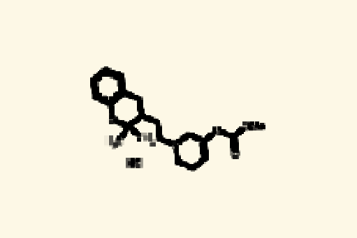 COC(=O)OC1=CCCN(CCC2Cc3ccccc3OC2(C)C)C1.Cl